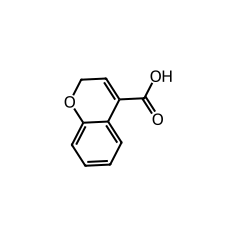 O=C(O)C1=CCOc2ccccc21